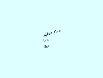 [Cd+2].[Ge+4].[Se-2].[Se-2].[Se-2]